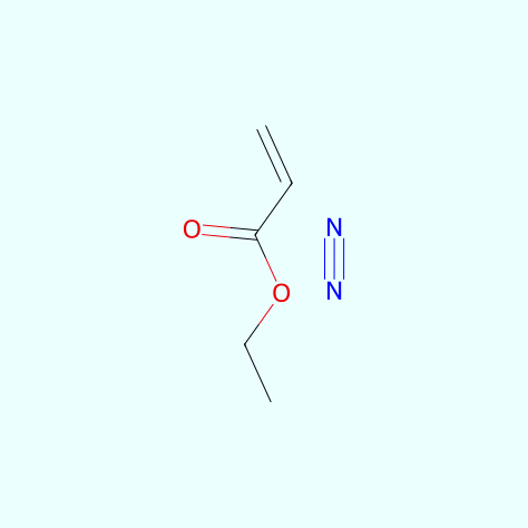 C=CC(=O)OCC.N#N